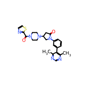 Cc1ncnc(C)c1-c1cccc(N2CC(N3CCN(C(=O)c4nccs4)CC3)CC2=O)c1